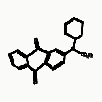 CCOC(=O)N(c1ccc2c(c1)C(=O)c1ccccc1C2=O)C1CCCCC1